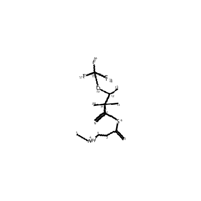 C=C(CCNC)SC(=C)C(C)(C)C(C)OC(F)(F)F